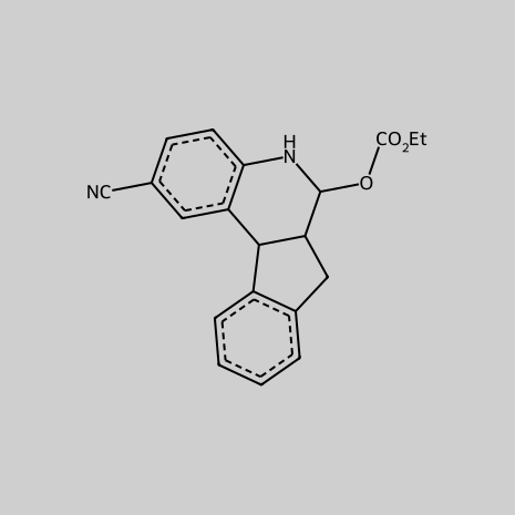 CCOC(=O)OC1Nc2ccc(C#N)cc2C2c3ccccc3CC12